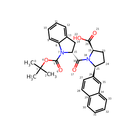 CC(C)(C)OC(=O)N1c2ccccc2C[C@@H]1C(=O)N1[C@@H](C(=O)O)CC[C@H]1c1ccc2ccccc2c1